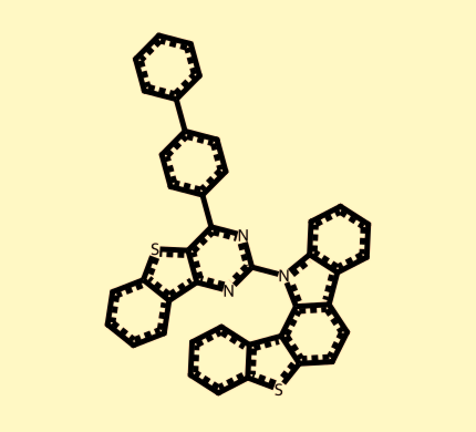 c1ccc(-c2ccc(-c3nc(-n4c5ccccc5c5ccc6sc7ccccc7c6c54)nc4c3sc3ccccc34)cc2)cc1